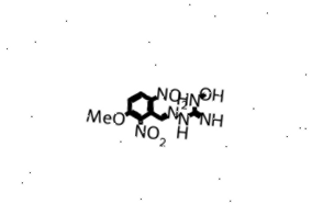 COc1ccc([N+](=O)[O-])c(/C=N/NC(=N)NO)c1[N+](=O)[O-]